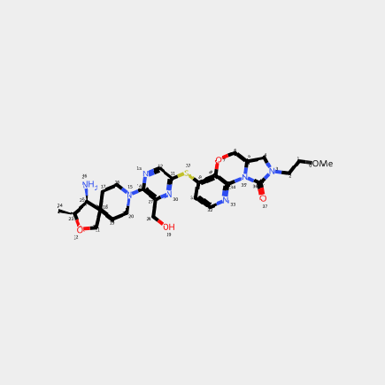 COCCN1CC2COc3c(Sc4cnc(N5CCC6(CC5)CO[C@@H](C)[C@H]6N)c(CO)n4)ccnc3N2C1=O